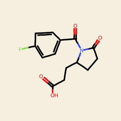 O=C(O)CCC1CCC(=O)N1C(=O)c1ccc(F)cc1